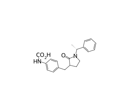 C[C@H](c1ccccc1)N1CCC(Cc2ccc(NC(=O)O)cc2)C1=O